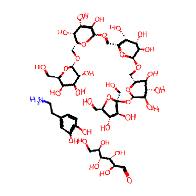 NCCc1ccc(O)c(O)c1.O=C[C@@H](O)[C@@H](O)[C@H](O)[C@H](O)CO.OC[C@H]1O[C@H](OC[C@H]2O[C@H](OC[C@H]3O[C@H](OC[C@H]4O[C@H](O[C@]5(CO)O[C@H](CO)[C@@H](O)[C@@H]5O)[C@H](O)[C@@H](O)[C@@H]4O)[C@H](O)[C@@H](O)[C@H]3O)[C@H](O)[C@@H](O)[C@H]2O)[C@H](O)[C@@H](O)[C@H]1O